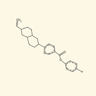 C=CC1CCC2CC(c3ccc(C(=O)Oc4ccc(F)cc4)cc3)CCC2C1